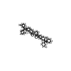 Cc1cccc(N(c2ccc3cc4c(cc3c2)oc2c4ccc3c4cc5ccc(N(c6cccc(C)c6)c6ccccc6C)cc5cc4oc32)c2ccccc2C)c1